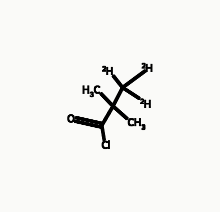 [2H]C([2H])([2H])C(C)(C)C(=O)Cl